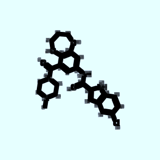 CN1CCN(C(=O)c2cc(NC(=O)c3cc4cc(Cl)ccc4[nH]3)cc3c2OCCCO3)CC1